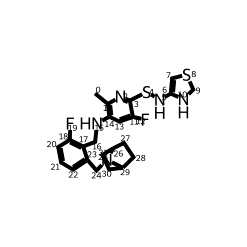 Cc1nc(SNC2=CSCN2)c(F)cc1NCc1c(F)cccc1CN1C2CCC1CC2